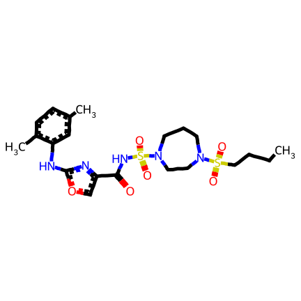 CCCCS(=O)(=O)N1CCCN(S(=O)(=O)NC(=O)c2coc(Nc3cc(C)ccc3C)n2)CC1